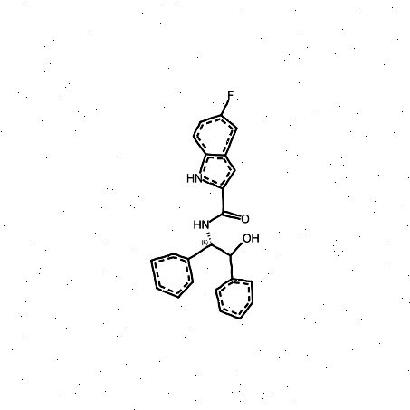 O=C(N[C@@H](c1ccccc1)C(O)c1ccccc1)c1cc2cc(F)ccc2[nH]1